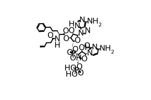 C=CCCC(=O)N[C@@H](CCCc1ccccc1)C(=O)O[C@H]1[C@@H](O)[C@H](n2cnc3c(N)ncnc32)O[C@@H]1COP(=O)(O)[C@H]1[C@@H](O)[C@H](n2ccc(N)nc2=O)O[C@@H]1COP(=O)(O)O